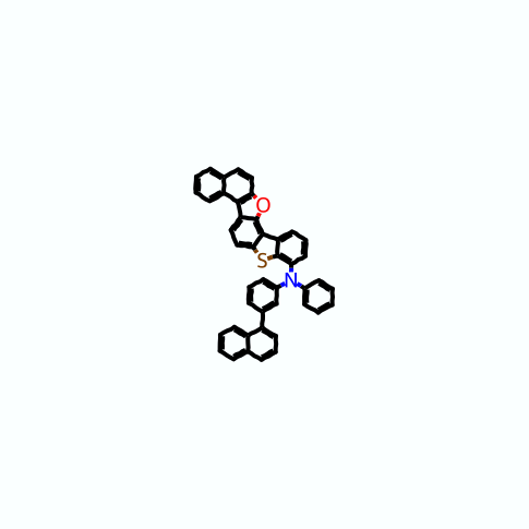 c1ccc(N(c2cccc(-c3cccc4ccccc34)c2)c2cccc3c2sc2ccc4c(oc5ccc6ccccc6c54)c23)cc1